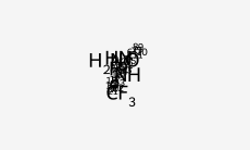 Nc1c(NC(=O)CC2CCCC2)ccc(NCc2ccc(C(F)(F)F)cc2)c1F